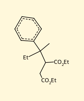 CCOC(=O)CC(C(=O)OCC)C(C)(CC)c1ccccc1